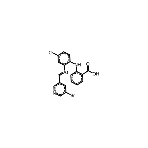 O=C(O)c1ccccc1Nc1ccc(Cl)cc1/[As]=C/c1cncc(Br)c1